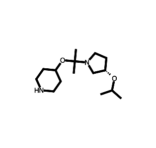 CC(C)O[C@H]1CCN(C(C)(C)OC2CCNCC2)C1